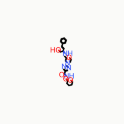 O=C(NOC1CCCCO1)c1cnc(N2CCOC(CNC(/C=C/c3ccccc3)CO)C2)nc1